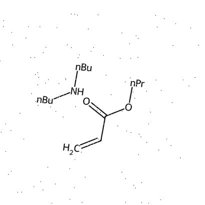 C=CC(=O)OCCC.CCCCNCCCC